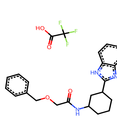 O=C(COCc1ccccc1)NC1CCCC(c2nc3ccccc3[nH]2)C1.O=C(O)C(F)(F)F